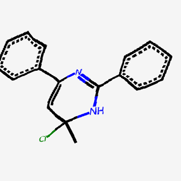 CC1(Cl)C=C(c2ccccc2)N=C(c2ccccc2)N1